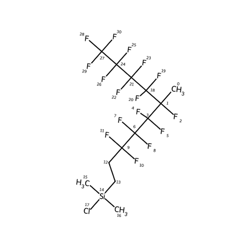 CC(F)(C(F)(F)C(F)(F)C(F)(F)CC[Si](C)(C)Cl)C(F)(F)C(F)(F)C(F)(F)C(F)(F)F